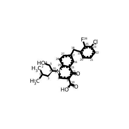 CC(C)C[C@@H](CO)n1cc(C(=O)O)c(=O)c2cc(Cc3cccc(Cl)c3F)ccc21